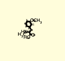 CNC(Cc1cccc(OC)c1)C(=O)O